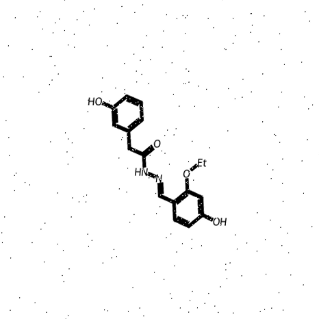 CCOc1cc(O)ccc1/C=N/NC(=O)Cc1cccc(O)c1